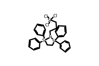 Cl[Si](Cl)(Cl)CCCN1[Si](c2ccccc2)(c2ccccc2)CC[Si]1(c1ccccc1)c1ccccc1